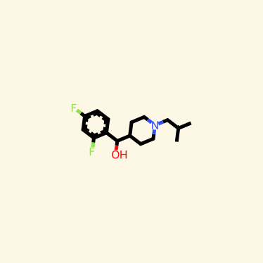 C[C](C)CN1CCC(C(O)c2ccc(F)cc2F)CC1